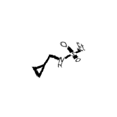 [CH2]CS(=O)(=O)NCC1CC1